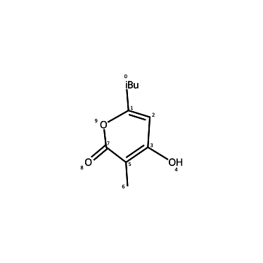 CCC(C)c1cc(O)c(C)c(=O)o1